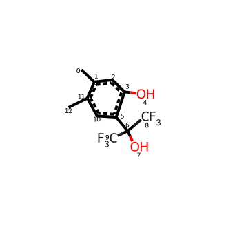 Cc1cc(O)c(C(O)(C(F)(F)F)C(F)(F)F)cc1C